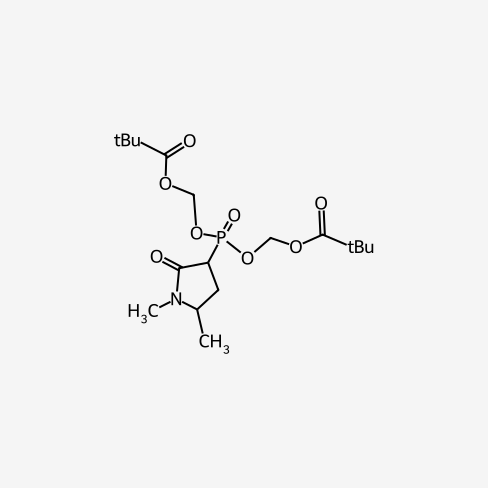 CC1CC(P(=O)(OCOC(=O)C(C)(C)C)OCOC(=O)C(C)(C)C)C(=O)N1C